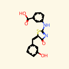 O=C1N=C(Nc2cccc(C(=O)O)c2)S/C1=C/c1cccc(O)c1